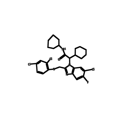 O=C(NC1CCCCC1)C(C1CCCCC1)n1c(CSc2ccc(Cl)cc2Cl)nc2cc(F)c(Cl)cc21